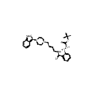 CC(C)(C)OC(=O)NNc1ccccc1C(=O)NCCCCN1CCN(c2snc3ccccc23)CC1